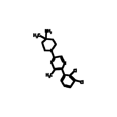 Cc1nc(N2CCC(C)(N)CC2)cnc1-c1cccc(Cl)c1Cl